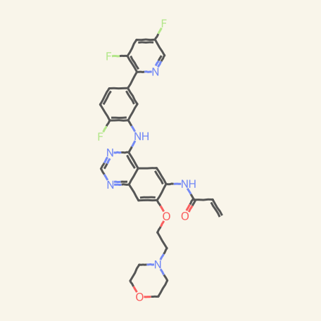 C=CC(=O)Nc1cc2c(Nc3cc(-c4ncc(F)cc4F)ccc3F)ncnc2cc1OCCN1CCOCC1